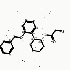 O=C(CCl)O[C@@H]1CCCC[C@H]1c1ccccc1OCc1ccccc1